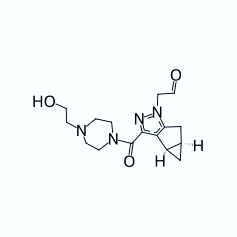 O=CCn1nc(C(=O)N2CCN(CCO)CC2)c2c1C[C@H]1C[C@@H]21